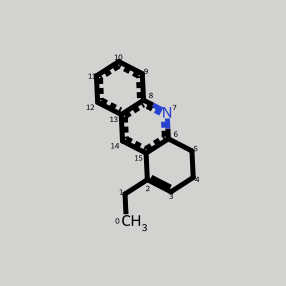 CCC1=CCCc2nc3ccccc3cc21